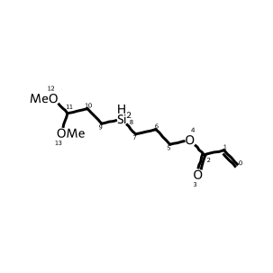 C=CC(=O)OCCC[SiH2]CCC(OC)OC